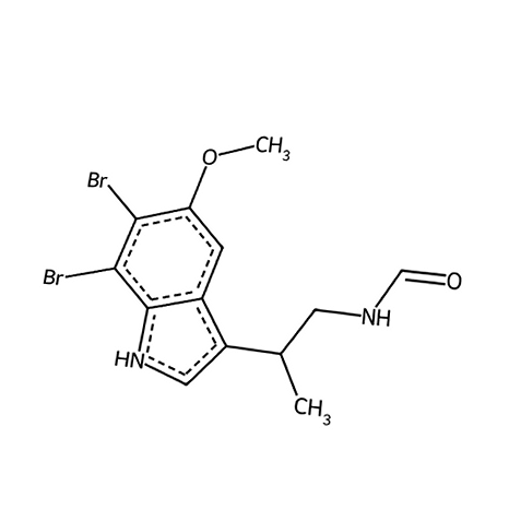 COc1cc2c(C(C)CNC=O)c[nH]c2c(Br)c1Br